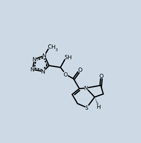 Cn1nnnc1C(S)OC(=O)C1=CCS[C@@H]2CC(=O)N12